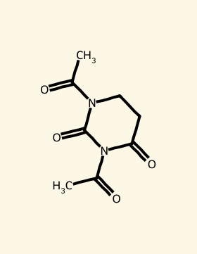 CC(=O)N1CCC(=O)N(C(C)=O)C1=O